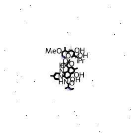 C/C=C(/C)C(=O)Nc1c2c(c3c4c(c(C)c(O)c3c1O)OC(C)(O/C=C/C(OC)C(C)[C@@H](OC(C)=O)[C@H](C)C(O)C(C)C(O)C(C)C)C4=O)NC1C=C(C)C=CN21